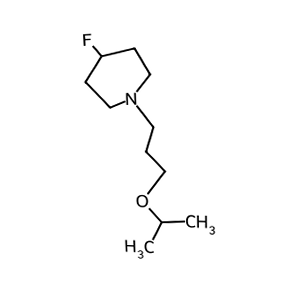 CC(C)OCCCN1CCC(F)CC1